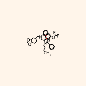 CCCCn1c(-c2ccccc2)nc(-c2ccccc2)c1CN(Cc1ccc(OC(F)F)cc1)CC1CCC2OCOC2C1